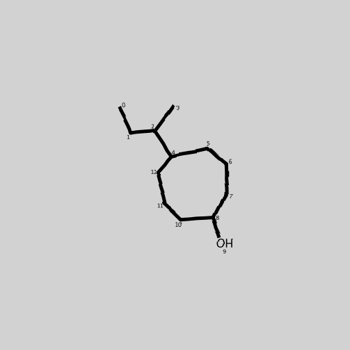 CCC(C)C1CCCC(O)CCC1